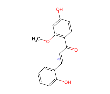 COc1cc(O)ccc1C(=O)/C=C/c1ccccc1O